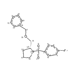 O=S(=O)(c1ccc(F)cc1)N1CCC[C@@H]1COCc1ccccc1